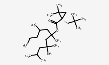 CCCC(C)CC(C)(CC(C)(O)CC(C)C)OC(=O)[C@]1(CC(C)(C)C)CC1(C)C